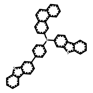 c1ccc2c(c1)ccc1ccc(N(c3ccc(-c4ccc5c(c4)sc4ccccc45)cc3)c3ccc4c(c3)sc3ccccc34)cc12